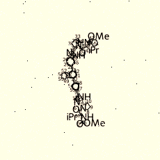 COC(=O)N[C@H](C(=O)N1CCC[C@H]1c1ncc(-c2ccc(-c3ccc(-c4ccc5nc([C@@H]6CC7CC7N6C(=O)[C@@H](NC(=O)OC)C(C)C)[nH]c5c4)c4c3C3CCC4C3)cc2)[nH]1)C(C)C